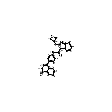 O=C(Nc1ccc(-c2n[nH]c(=O)c3ccccc23)cc1)c1c2ccccc2nn1CC1COC1